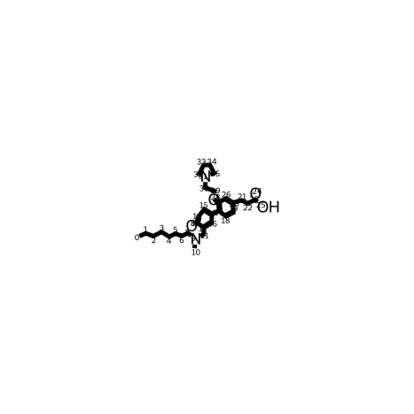 CCCCCCCC(=O)N(C)Cc1cccc(-c2ccc(CCC(=O)O)cc2OCCN2CCCC2)c1